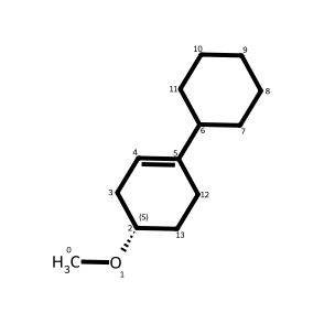 CO[C@@H]1CC=C(C2CCCCC2)CC1